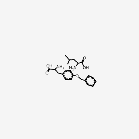 CC(C)CC(N)C(=O)O.NC(Cc1ccc(OCc2ccccc2)cc1)C(=O)O